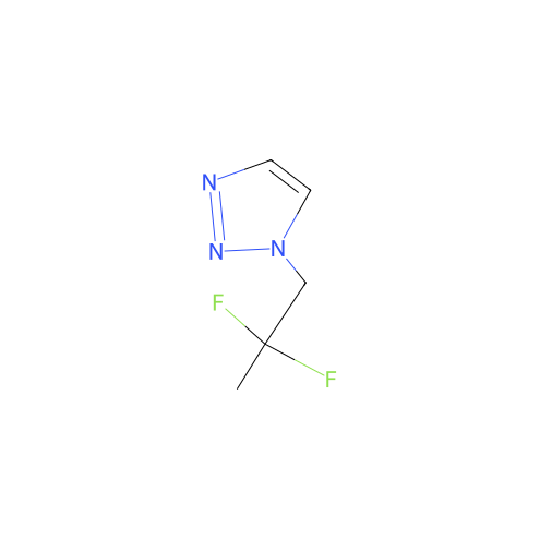 CC(F)(F)Cn1ccnn1